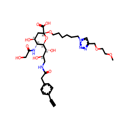 C#Cc1ccc(CC(=O)NC[C@@H](O)[C@@H](O)[C@@H]2O[C@@](OCCCCCCn3cc(COCCOC)nn3)(C(=O)O)C[C@H](O)[C@H]2NC(=O)CO)cc1